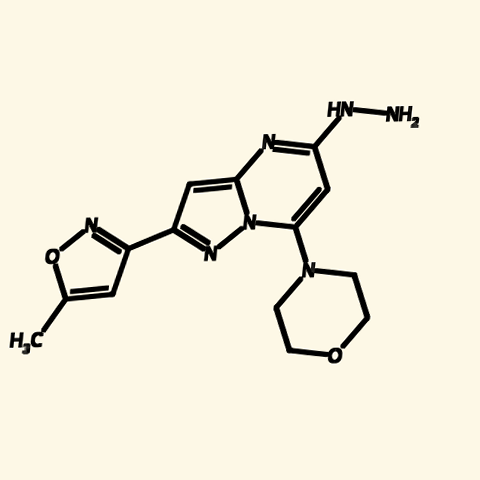 Cc1cc(-c2cc3nc(NN)cc(N4CCOCC4)n3n2)no1